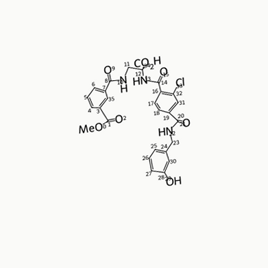 COC(=O)c1cccc(C(=O)NC[C@H](NC(=O)c2ccc(C(=O)NCc3cccc(O)c3)cc2Cl)C(=O)O)c1